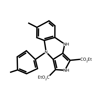 CCOC(=O)c1[nH]c(C(=O)OCC)c2c1Nc1ccc(C)cc1N2c1ccc(C)cc1